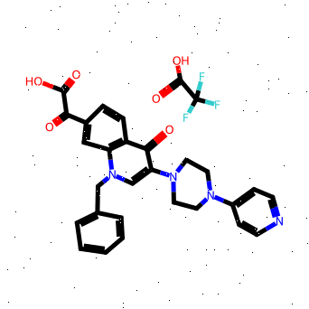 O=C(O)C(=O)c1ccc2c(=O)c(N3CCN(c4ccncc4)CC3)cn(Cc3ccccc3)c2c1.O=C(O)C(F)(F)F